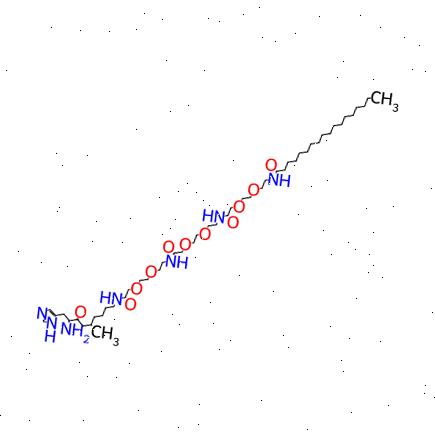 CCCCCCCCCCCCCCCCCC(=O)NCCOCCOCC(=O)NCCOCCOCC(=O)NCCOCCOCC(=O)NCCCC[C@@H](C)CC(=O)[C@@H](N)Cc1cnc[nH]1